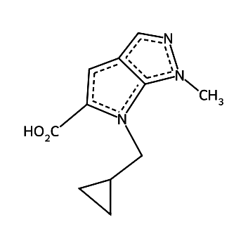 Cn1ncc2cc(C(=O)O)n(CC3CC3)c21